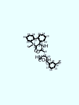 CN1C(=O)C(NC(=O)C[C@H](CCc2cccc(F)c2)NC(=O)O)c2ccccc2-c2ccccc21